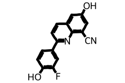 N#Cc1cc(O)cc2ccc(-c3ccc(O)c(F)c3)nc12